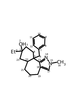 CCC1(O)CCC2(Cc3ccccc3)c3nn(C)cc3CCCC2C1